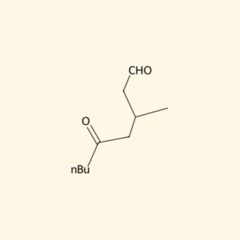 CCCCC(=O)CC(C)CC=O